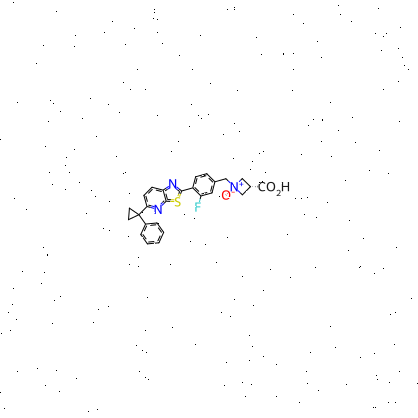 O=C(O)[C@H]1C[N@+]([O-])(Cc2ccc(-c3nc4ccc(C5(c6ccccc6)CC5)nc4s3)c(F)c2)C1